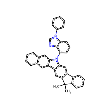 CC1(C)c2ccccc2-c2cc3c(cc21)c1cc2ccccc2cc1n3-c1cccc2c1ncn2-c1ccccc1